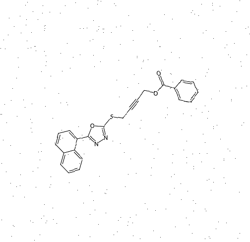 O=C(OCC#CCSc1nnc(-c2cccc3ccccc23)o1)c1ccccc1